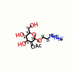 CC(=O)O[C@H]1C(O)[C@H](O)C(CO)O[C@H]1OCCN=[N+]=[N-]